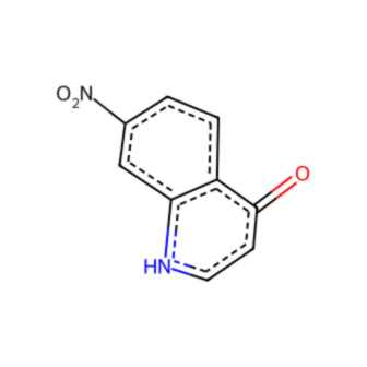 O=c1cc[nH]c2cc([N+](=O)[O-])ccc12